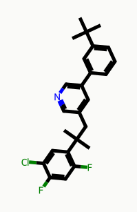 CC(C)(C)c1cccc(-c2cncc(CC(C)(C)c3cc(Cl)c(F)cc3F)c2)c1